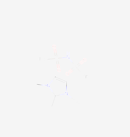 CCCCCCCCN1C=CN(C)C1C.O=S(=O)(NS(=O)(=O)C(F)(F)F)C(F)(F)F